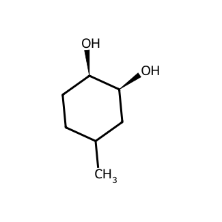 CC1CC[C@@H](O)[C@@H](O)C1